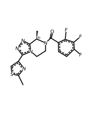 Cc1nc(-c2nnc3n2CCN(C(=O)c2ccc(F)c(F)c2F)[C@@H]3C)cs1